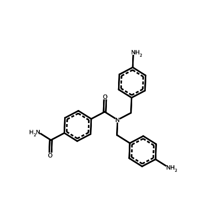 NC(=O)c1ccc(C(=O)N(Cc2ccc(N)cc2)Cc2ccc(N)cc2)cc1